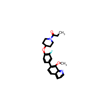 CCC(=O)N1CCC(Oc2ccc(-c3ccc4cccnc4c3OC)cc2F)CC1